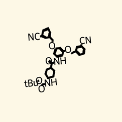 CC(C)(C)OC(=O)NC1CCC(C(=O)Nc2cc(OCc3cccc(C#N)c3)cc(OCc3cccc(C#N)c3)c2)CC1